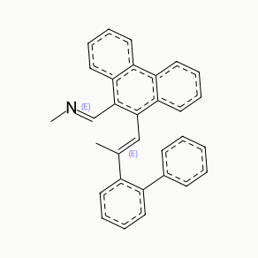 C/N=C/c1c(/C=C(\C)c2ccccc2-c2ccccc2)c2ccccc2c2ccccc12